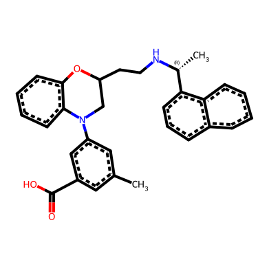 Cc1cc(C(=O)O)cc(N2CC(CCN[C@H](C)c3cccc4ccccc34)Oc3ccccc32)c1